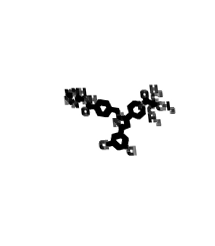 CC(C)(C)C(=O)N1CCC(c2cc(-c3cc(Cl)cc(Cl)c3)nn2Cc2ccc(C(=O)Nc3nnn[nH]3)cc2)CC1